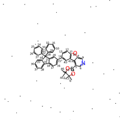 CC1(C)OB(c2cncc3oc4ccc(-c5ccc6c(c5)C(c5ccccc5)(c5ccccc5)c5ccccc5-6)cc4c23)OC1(C)C